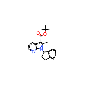 Cc1c(C(=O)OC(C)(C)C)c2cccnc2n1C1CCc2ccccc21